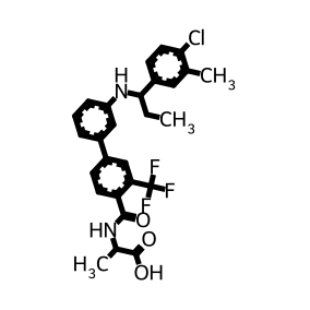 CCC(Nc1cccc(-c2ccc(C(=O)NC(C)C(=O)O)c(C(F)(F)F)c2)c1)c1ccc(Cl)c(C)c1